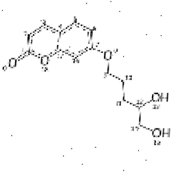 O=c1ccc2ccc(OCCCC(O)CO)cc2o1